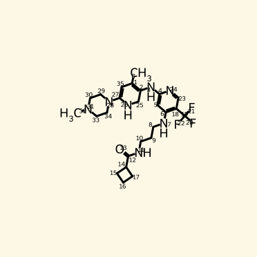 CC1=C(Nc2cc(NCCCNC(=O)C3CCC3)c(C(F)(F)F)cn2)CNC(N2CCN(C)CC2)=C1